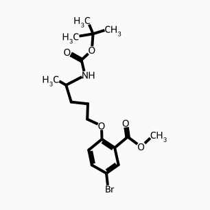 COC(=O)c1cc(Br)ccc1OCCCC(C)NC(=O)OC(C)(C)C